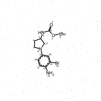 CC(C)(C)OC(=O)NC1CCN(c2ccc(N)c(Br)c2)C1